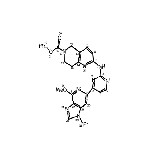 COc1nc(-c2ccnc(Nc3ccc4c(n3)CCN(C(=O)OC(C)(C)C)C4)n2)cc2c1ncn2C(C)C